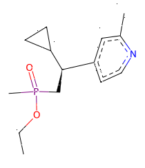 CCOP(C)(=O)C[C@H](c1ccnc(C)c1)C1CC1